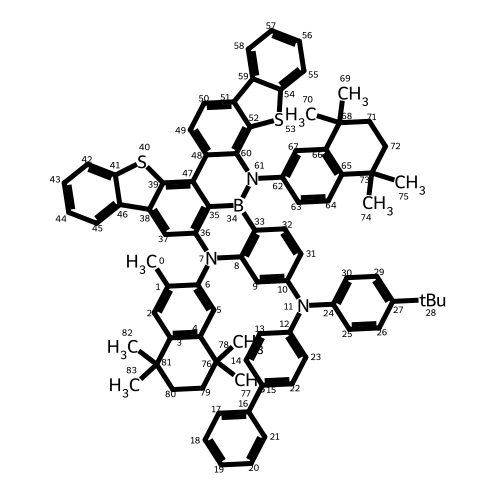 Cc1cc2c(cc1N1c3cc(N(c4ccc(-c5ccccc5)cc4)c4ccc(C(C)(C)C)cc4)ccc3B3c4c1cc1c(sc5ccccc51)c4-c1ccc4c(sc5ccccc54)c1N3c1ccc3c(c1)C(C)(C)CCC3(C)C)C(C)(C)CCC2(C)C